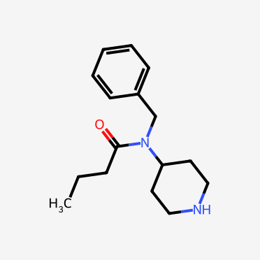 CCCC(=O)N(Cc1ccccc1)C1CCNCC1